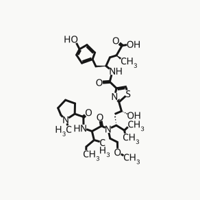 CCC(C)C(NC(=O)C1CCCCN1C)C(=O)N(CCOC)[C@H](C[C@@H](O)c1nc(C(=O)N[C@@H](Cc2ccc(O)cc2)C[C@H](C)C(=O)O)cs1)C(C)C